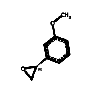 COc1cccc([C@@H]2CO2)c1